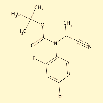 CC(C#N)N(C(=O)OC(C)(C)C)c1ccc(Br)cc1F